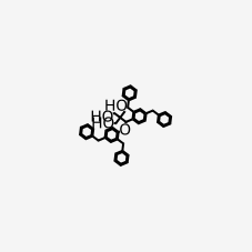 OCC(CO)(CO)C(Oc1ccc(Cc2ccccc2)cc1Cc1ccccc1)c1ccc(Cc2ccccc2)cc1Cc1ccccc1